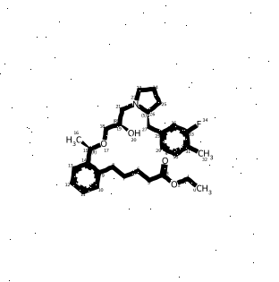 CCOC(=O)CCCCc1ccccc1[C@@H](C)OC[C@H](O)CN1CCC[C@H]1Cc1ccc(C)c(F)c1